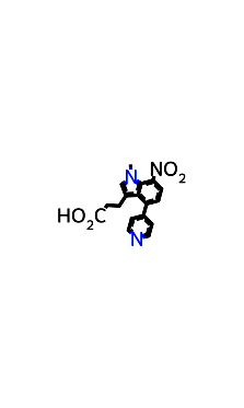 Cn1cc(CCC(=O)O)c2c(-c3ccncc3)ccc([N+](=O)[O-])c21